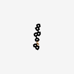 c1ccc2cc(-c3cccc4c(-c5ccc(Sc6cccc7ccccc67)cc5)cccc34)ccc2c1